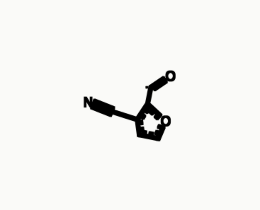 N#Cc1ccoc1[C]=O